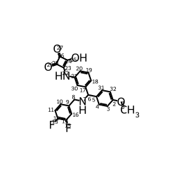 COc1ccc(C(NCc2ccc(F)c(F)c2)c2cccc(Nc3c(O)c(=O)c3=O)c2)cc1